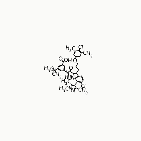 Cc1cc(OCCCc2c(C(=O)Nc3cc(C(=O)O)cc(N(C)C)c3)[nH]c3c(-c4c(C)nn(C)c4C)c(Cl)ccc23)cc(C)c1Cl